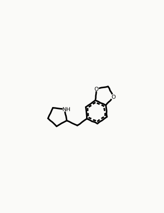 c1cc2c(cc1CC1CCCN1)OCO2